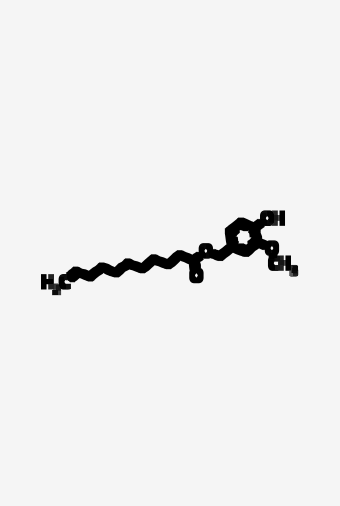 C=CCCCCCCCCC(=O)OCc1ccc(O)c(OC)c1